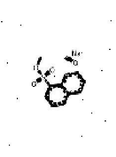 C=O.COS(=O)(=O)c1cccc2ccccc12.[Na]